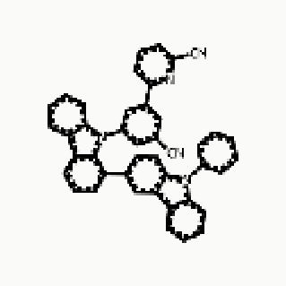 N#Cc1cc(-c2cccc(C#N)n2)cc(-n2c3ccccc3c3cccc(-c4ccc5c(c4)c4ccccc4n5-c4ccccc4)c32)c1